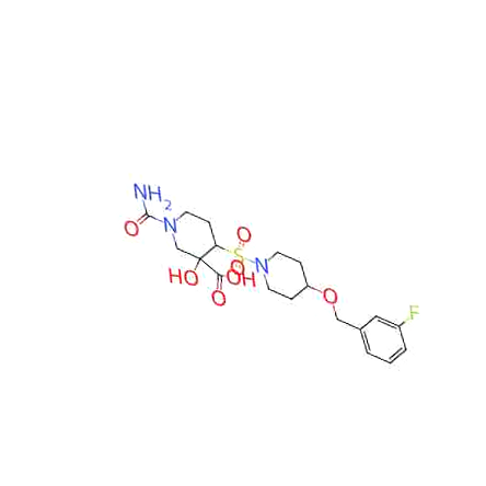 NC(=O)N1CCC(S(=O)(=O)N2CCC(OCc3cccc(F)c3)CC2)C(O)(C(=O)O)C1